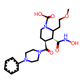 COCCC1[C@H](C(=O)NO)[C@@H](C(=O)N2CCN(c3ccccc3)CC2)CCN1C(=O)O